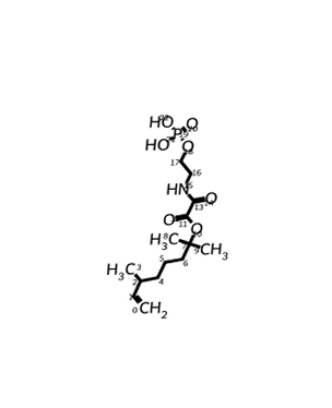 C=CC(C)CCCC(C)(C)OC(=O)C(=O)NCCOP(=O)(O)O